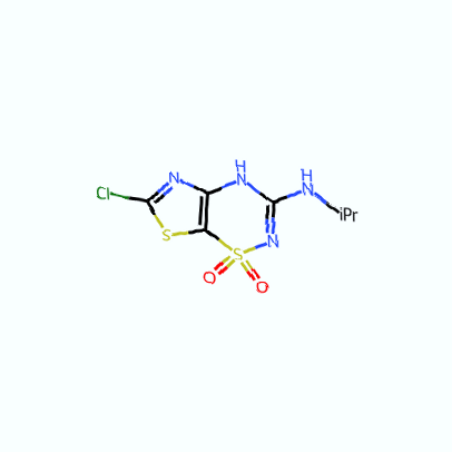 CC(C)NC1=NS(=O)(=O)c2sc(Cl)nc2N1